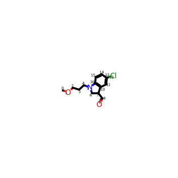 COCCCN1CC(C=O)c2cc(Cl)ccc21